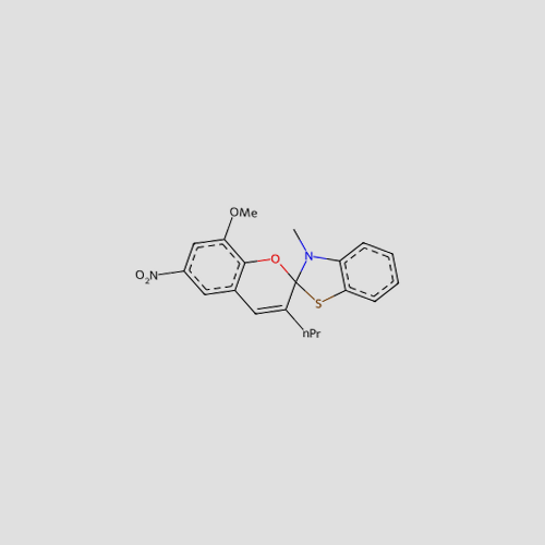 CCCC1=Cc2cc([N+](=O)[O-])cc(OC)c2OC12Sc1ccccc1N2C